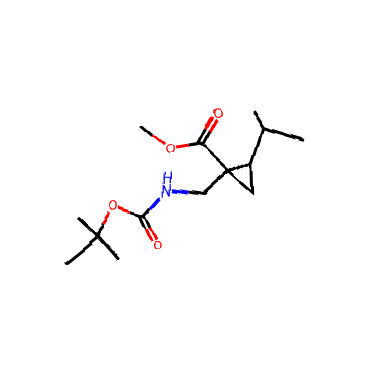 COC(=O)C1(CNC(=O)OC(C)(C)C)CC1C(C)C